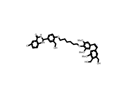 COc1cc(/C=C\c2cc(OC)c(OCCCCCCOc3ccc(C4NC(=O)c5cc(Cl)ccc5N4)cc3CO)c(OC)c2)cc(CO)c1CO